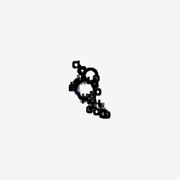 CO[C@H]1/C=C/C[C@H](C)[C@@H](CNC(=O)CO[C@H]2CCOC[C@H]2F)/[SH](=O)=N\C(=O)c2ccc3c(c2)N(Cc2ccc(Cl)cc2CCCCO3)C[C@@H]2CC[C@H]21